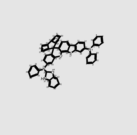 c1ccc(N(c2ccccc2)c2ccc3c(c2)sc2c4c(ccc23)C2(c3ccc(N(c5ccccc5)C5Nc6ccccc6O5)cc3O4)c3ccccc3-c3ccccc32)cc1